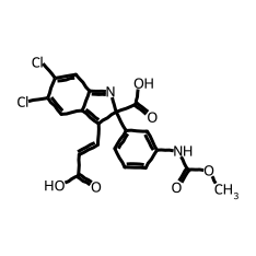 COC(=O)Nc1cccc(C2(C(=O)O)N=c3cc(Cl)c(Cl)cc3=C2C=CC(=O)O)c1